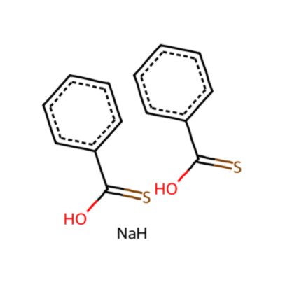 OC(=S)c1ccccc1.OC(=S)c1ccccc1.[NaH]